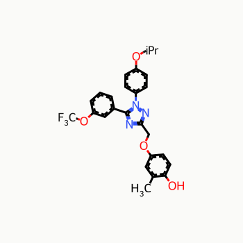 Cc1cc(OCc2nc(-c3cccc(OC(F)(F)F)c3)n(-c3ccc(OC(C)C)cc3)n2)ccc1O